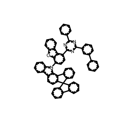 c1ccc(-c2cccc(-c3nc(-c4ccccc4)nc(-c4ccc(-n5c6ccccc6c6ccc7c(c65)-c5ccccc5C75c6ccccc6-c6ccccc65)c5oc6ccccc6c45)n3)c2)cc1